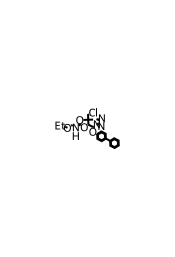 CCOCNC(=O)OC(C(Oc1ccc(-c2ccccc2)cc1)n1cncn1)C(C)(C)CCl